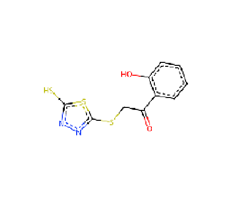 O=C(CSc1nnc(S)s1)c1ccccc1O